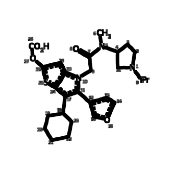 CC(C)N1CCC(N(C)C(=O)Cn2c(-c3ccoc3)c(C3CCCCC3)c3sc(OC(=O)O)cc32)C1